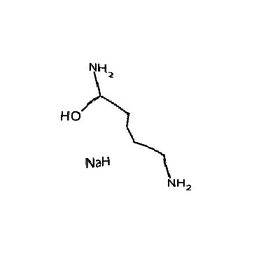 NCCCC(N)O.[NaH]